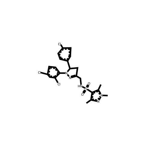 Cc1nn(C)c(C)c1S(=O)(=O)NCC1=NN(c2ccc(Cl)cc2Cl)C(c2ccc(Cl)cc2)C1